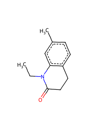 CCN1C(=O)CCc2ccc(C)cc21